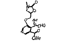 COC(=O)c1cncc(OCC2CN(C)C(=O)O2)c1N(C=O)C(C)=O